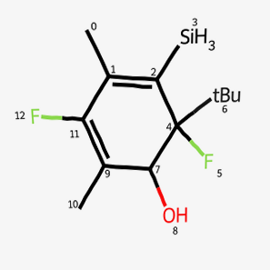 CC1=C([SiH3])C(F)(C(C)(C)C)C(O)C(C)=C1F